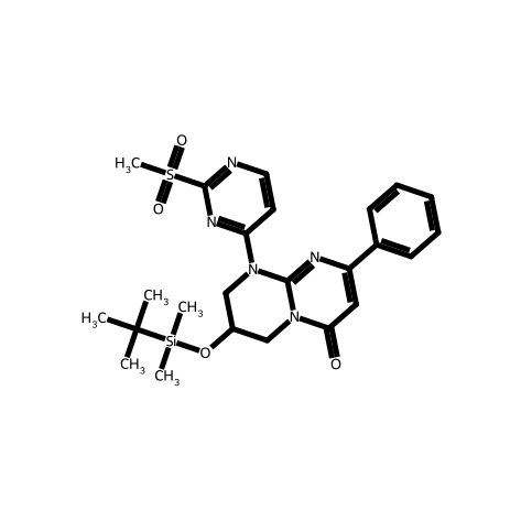 CC(C)(C)[Si](C)(C)OC1CN(c2ccnc(S(C)(=O)=O)n2)c2nc(-c3ccccc3)cc(=O)n2C1